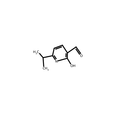 CC(C)c1ccc(C=O)c(O)n1